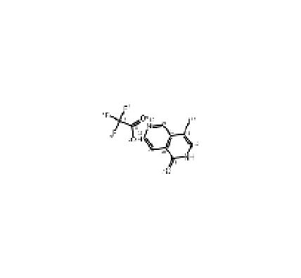 O=C(O)C(F)(F)F.O=c1[nH]cc(I)c2cnccc12